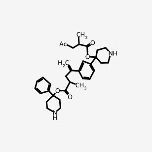 C=C(CC(C)C(=O)OC1(c2ccccc2)CCNCC1)c1cccc(C2(OC(=O)C(C)CC(C)=O)CCNCC2)c1